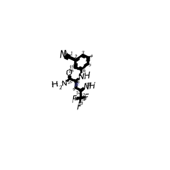 N#Cc1cccc(N/C(=C\C(=N)C(F)(F)F)C(N)=O)c1